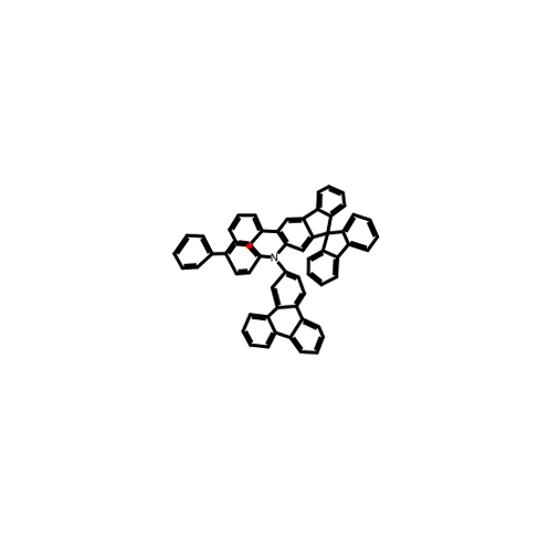 c1ccc(-c2ccc(N(c3ccc4c5ccccc5c5ccccc5c4c3)c3cc4c(cc3-c3ccccc3)-c3ccccc3C43c4ccccc4-c4ccccc43)cc2)cc1